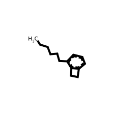 CCCCCCc1cccc2c1CC2